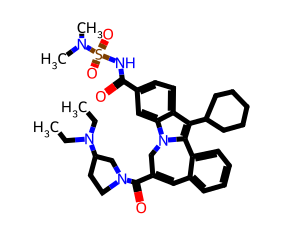 CCN(CC)C1CCN(C(=O)C2=Cc3ccccc3-c3c(C4CCCCC4)c4ccc(C(=O)NS(=O)(=O)N(C)C)cc4n3C2)C1